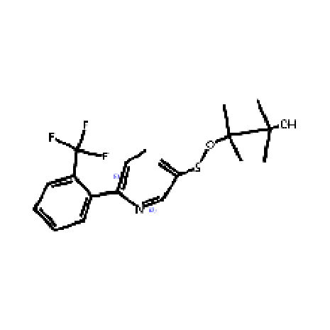 C=C(/C=N\C(=C/C)c1ccccc1C(F)(F)F)SOC(C)(C)C(C)(C)O